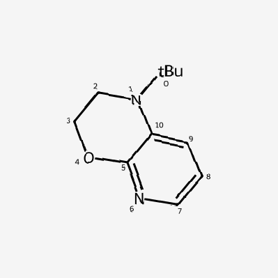 CC(C)(C)N1CCOc2ncccc21